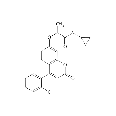 CC(Oc1ccc2c(-c3ccccc3Cl)cc(=O)oc2c1)C(=O)NC1CC1